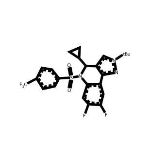 CC(C)(C)n1cc2c(n1)-c1cc(F)c(F)cc1N(S(=O)(=O)c1ccc(C(F)(F)F)cc1)C2C1CC1